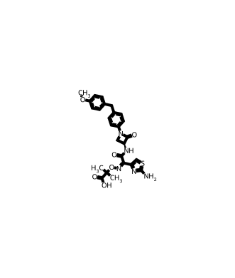 COc1ccc(Cc2ccc(N3C[C@H](NC(=O)/C(=N\OC(C)(C)C(=O)O)c4csc(N)n4)C3=O)cc2)cc1